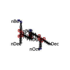 CCCC/C=C\C/C=C\CCCCCCCCC(=O)OCC(COC(=O)CCCCCCCCCCCCCCCCC)OC(=O)CCCCCCCCC(CCCCCCCC)[Si](C)(C)O[Si](C)(C)O[Si](C)(C)C(CC/C=C\CCCC)CCCCCCCCC(=O)OCC(COC(=O)CCCCCCCCCCCCCCCCC)OC(=O)CCCCCCC/C=C\CCCCCCCC